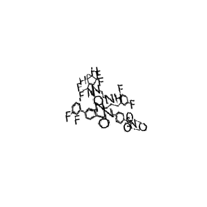 O=C(Cn1nc(C(F)F)c2c1C(F)(F)[C@@H]1C[C@H]21)NC(Cc1cc(F)cc(F)c1)c1nc2cc(-c3cccc(F)c3F)ccc2c(=O)n1-c1ccc(S(=O)(=O)N2CCOCC2)cc1